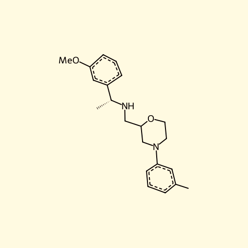 COc1cccc([C@@H](C)NCC2CN(c3cccc(C)c3)CCO2)c1